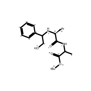 CC(NC(=O)[C@@H](NC(CO)c1ccccc1)C(C)C)C(=O)OC(C)(C)C